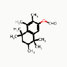 Cc1c(OC=O)cc2c(c1C)C(C)(C)CC(C)C2(C)C